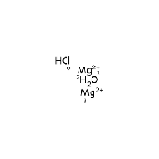 Cl.O.[Mg+2].[Mg+2]